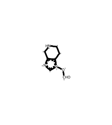 O=COn1cnc2c1CCNC2